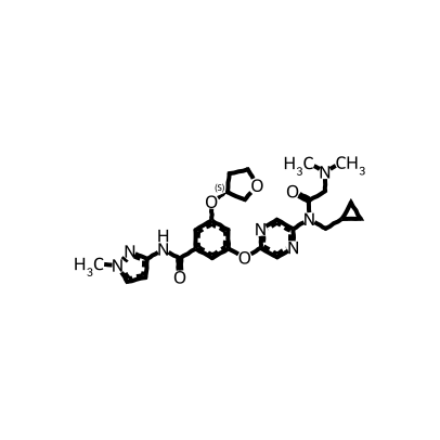 CN(C)CC(=O)N(CC1CC1)c1cnc(Oc2cc(O[C@H]3CCOC3)cc(C(=O)Nc3ccn(C)n3)c2)cn1